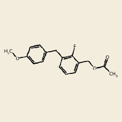 COc1ccc(Cc2[c]ccc(COC(C)=O)c2F)cc1